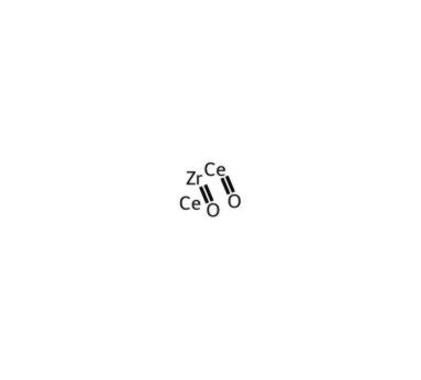 [Ce].[O]=[Ce].[O]=[Zr]